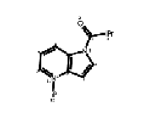 CC(C)C(=O)n1ccc2c1ccc[n+]2C(C)C